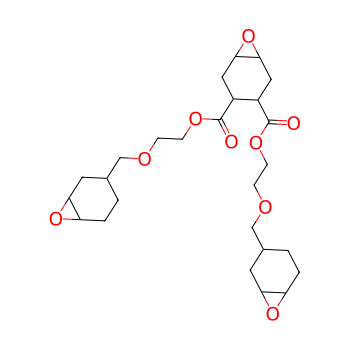 O=C(OCCOCC1CCC2OC2C1)C1CC2OC2CC1C(=O)OCCOCC1CCC2OC2C1